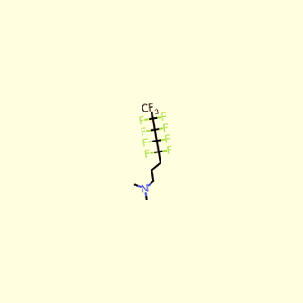 CN(C)CCCC(F)(F)C(F)(F)C(F)(F)C(F)(F)C(F)(F)F